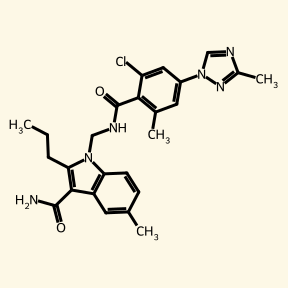 CCCc1c(C(N)=O)c2cc(C)ccc2n1CNC(=O)c1c(C)cc(-n2cnc(C)n2)cc1Cl